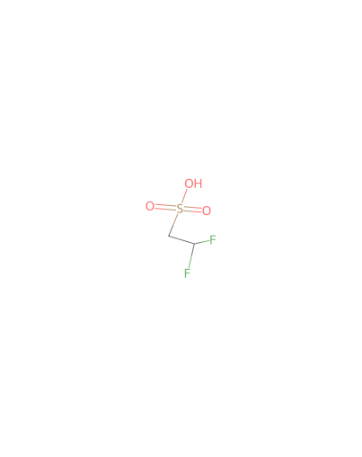 O=S(=O)(O)CC(F)F